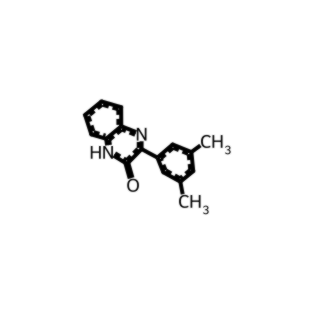 Cc1cc(C)cc(-c2nc3ccccc3[nH]c2=O)c1